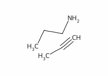 C#CC.CCCN